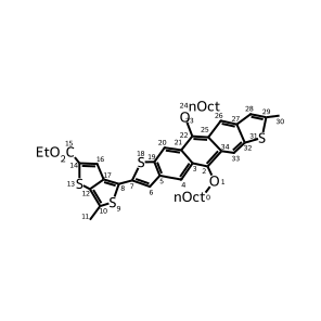 CCCCCCCCOc1c2cc3cc(-c4sc(C)c5sc(C(=O)OCC)cc45)sc3cc2c(OCCCCCCCC)c2cc3cc(C)sc3cc12